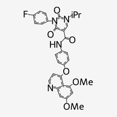 COc1cc(OC)c2c(Oc3ccc(NC(=O)c4cn(C(C)C)c(=O)n(-c5ccc(F)cc5)c4=O)cc3)ccnc2c1